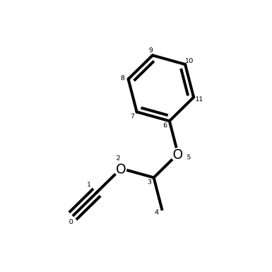 C#COC(C)Oc1ccccc1